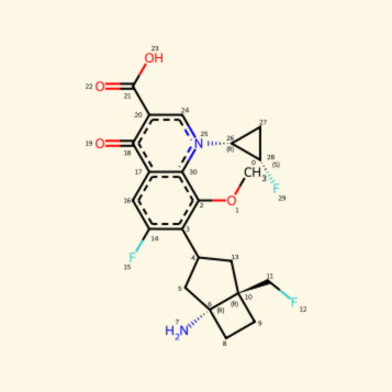 COc1c(C2C[C@]3(N)CC[C@@]3(CF)C2)c(F)cc2c(=O)c(C(=O)O)cn([C@@H]3C[C@@H]3F)c12